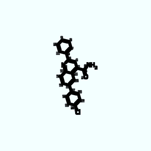 NC(=O)c1cc(-c2ccccc2)nc2ccc(-c3ccc(Cl)cc3)cc12